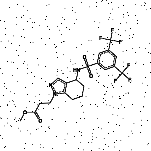 COC(=O)CCn1ncc2c1CCCC2NS(=O)(=O)c1cc(C(F)(F)F)cc(C(F)(F)F)c1